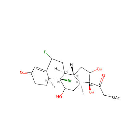 CC(=O)OCC(=O)[C@@]1(O)C(O)C[C@H]2[C@@H]3CC(F)C4=CC(=O)CC[C@]4(C)[C@@]3(Br)C(O)C[C@@]21C